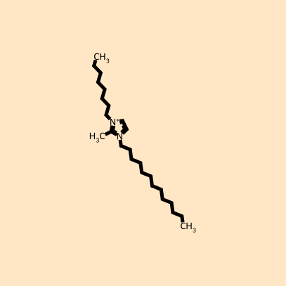 CCCCCCCCCCCCCn1cc[n+](CCCCCCCC)c1C